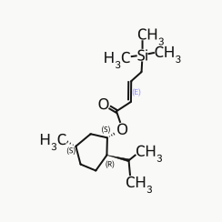 CC(C)[C@H]1CC[C@H](C)C[C@@H]1OC(=O)/C=C/C[Si](C)(C)C